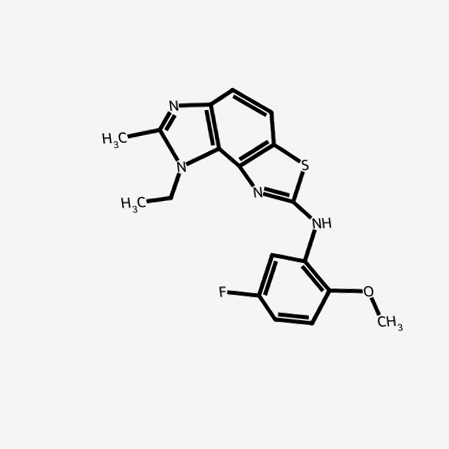 CCn1c(C)nc2ccc3sc(Nc4cc(F)ccc4OC)nc3c21